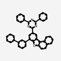 c1ccc(-c2cccc(-c3cc(-c4nc(-c5ccccc5)nc(-c5ccccc5)n4)cc4c3oc3ccc5ccccc5c34)c2)cc1